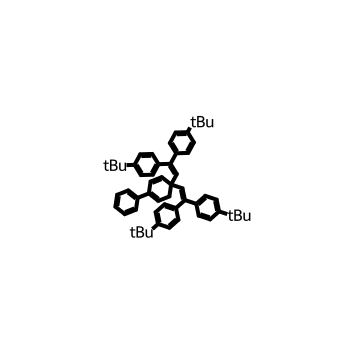 CC(C)(C)c1ccc(C(=CC2(C=C(c3ccc(C(C)(C)C)cc3)c3ccc(C(C)(C)C)cc3)C=CC(c3ccccc3)=CC2)c2ccc(C(C)(C)C)cc2)cc1